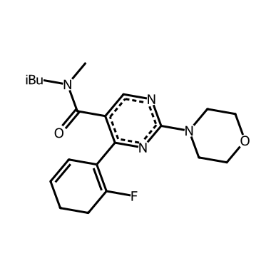 CCC(C)N(C)C(=O)c1cnc(N2CCOCC2)nc1C1=C(F)CCC=C1